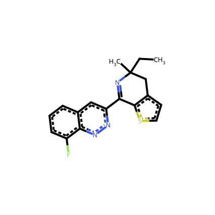 CCC1(C)Cc2ccsc2C(c2cc3cccc(F)c3nn2)=N1